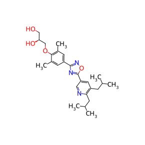 Cc1cc(-c2noc(-c3cnc(CC(C)C)c(CC(C)C)c3)n2)cc(C)c1OC[C@@H](O)CO